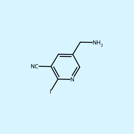 N#Cc1cc(CN)cnc1I